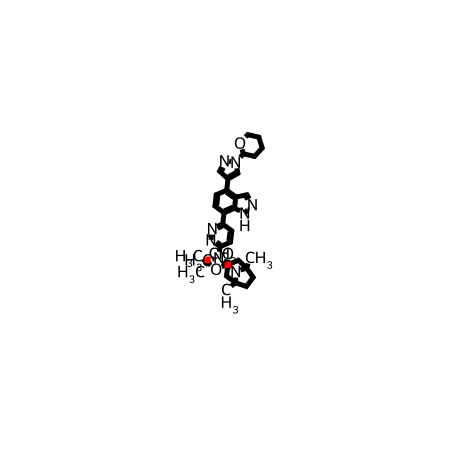 CN(c1ccc(-c2ccc(-c3cnn(C4CCCCO4)c3)c3cn[nH]c23)nn1)C1CC2(C)CCC(C)(C1)N2C(=O)OC(C)(C)C